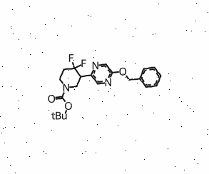 CC(C)(C)OC(=O)N1CCC(F)(F)C(c2cnc(OCc3ccccc3)cn2)C1